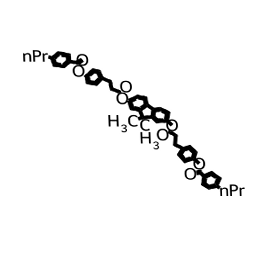 CCCc1ccc(C(=O)Oc2ccc(CCC(=O)Oc3ccc4c(c3)C(C)(C)c3cc(OC(=O)CCc5ccc(OC(=O)c6ccc(CCC)cc6)cc5)ccc3-4)cc2)cc1